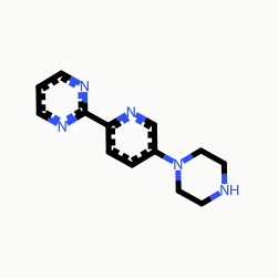 c1cnc(-c2ccc(N3CCNCC3)cn2)nc1